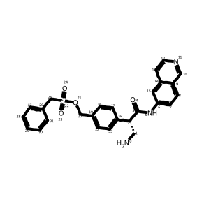 NC[C@@H](C(=O)Nc1ccc2cnccc2c1)c1ccc(COS(=O)(=O)Cc2ccccc2)cc1